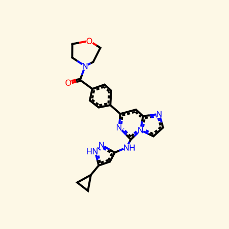 O=C(c1ccc(-c2cc3nccn3c(Nc3cc(C4CC4)[nH]n3)n2)cc1)N1CCOCC1